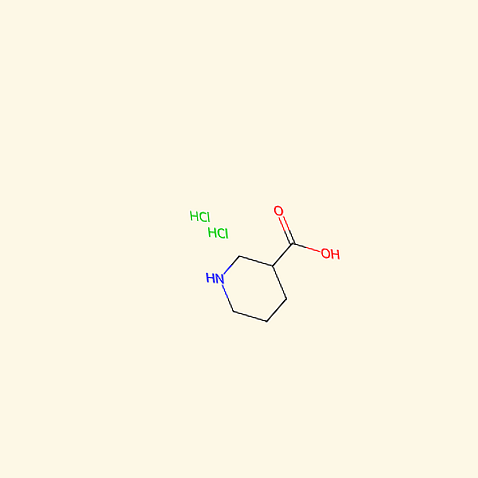 Cl.Cl.O=C(O)C1CCCNC1